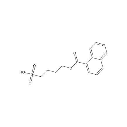 O=C(OCCCCS(=O)(=O)O)c1cccc2ccccc12